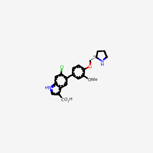 COc1cc(-c2cc3c(C(=O)O)c[nH]c3cc2Cl)ccc1OC[C@@H]1CCCN1